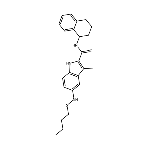 CCCCSNc1ccc2[nH]c(C(=O)NC3CCCc4ccccc43)c(C)c2c1